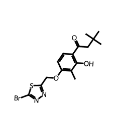 Cc1c(OCc2nnc(Br)s2)ccc(C(=O)CC(C)(C)C)c1O